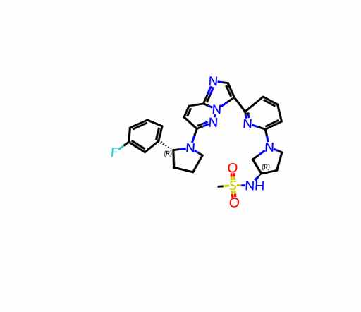 CS(=O)(=O)N[C@@H]1CCN(c2cccc(-c3cnc4ccc(N5CCC[C@@H]5c5cccc(F)c5)nn34)n2)C1